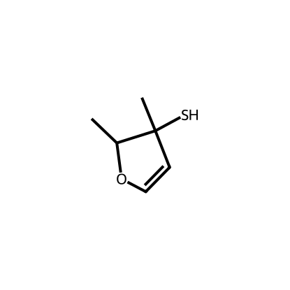 CC1OC=CC1(C)S